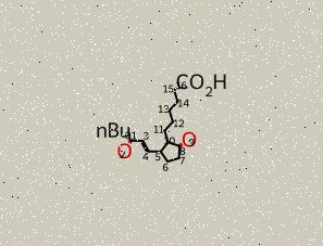 CCCCC(=O)C=CC1CCC(=O)C1CCCCCC(=O)O